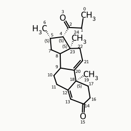 CCC(=O)[C@H]1[C@@H](C)CC2C3CCC4=CC(=O)CC[C@]4(C)C3=CC[C@@]21C